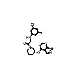 O=C(CNc1cc(F)cc(Cl)c1)N1CCC[C@H](Oc2ncnc3[nH]ncc23)C1